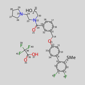 CSc1cc(F)c(F)cc1-c1ccc(OCc2cccc(C(=O)N(CCN3CCCC3)CC(=O)O)c2)cc1.O=C(O)C(F)(F)F